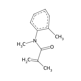 C=C(C)C(=O)N(C)c1ccccc1C